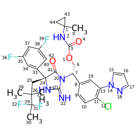 CC1(NC(=O)OC[C@H](c2ccc(Cl)c(-n3cccn3)c2)N2C(=N)N[C@](CC(C)(C)C(C)(F)F)(c3cc(F)cc(F)c3)C2=O)CC1